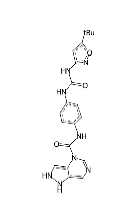 CC(C)(C)c1cc(NC(=O)Nc2ccc(NC(=O)N3C=NC=C4NNC=C43)cc2)no1